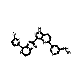 CC(=O)c1ccc(-c2nccc3[nH]c(-c4n[nH]c5ccc(-c6cncc(NC(C)C)c6)nc45)nc23)s1